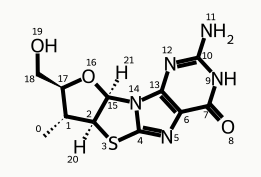 C[C@H]1[C@@H]2Sc3nc4c(=O)[nH]c(N)nc4n3[C@@H]2O[C@@H]1CO